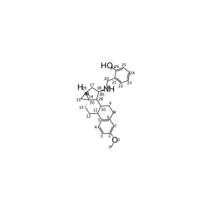 COc1ccc2c(c1)CCC1C2CC[C@]23C[C@H]2C[C@@H](NCc2ccccc2O)C13